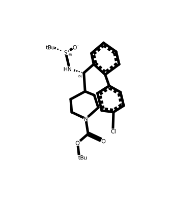 CC(C)(C)OC(=O)N1CCC([C@H](N[S@@+]([O-])C(C)(C)C)c2ccccc2-c2ccc(Cl)cc2)CC1